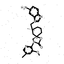 COc1cc(C)cnc1N1C[C@@]2(CCC[C@](C)(Cn3cnc4ccc(N)cc43)C2)OC1=O